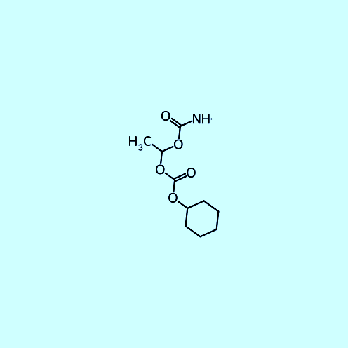 CC(OC([NH])=O)OC(=O)OC1CCCCC1